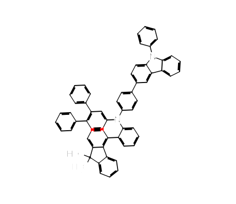 CC1(C)c2ccccc2-c2c(-c3ccccc3N(c3ccc(-c4ccc5c(c4)c4ccccc4n5-c4ccccc4)cc3)c3ccc(-c4ccccc4)c(-c4ccccc4)c3)cccc21